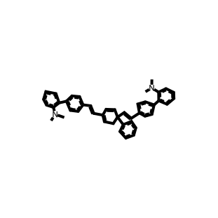 CN(C)c1ccccc1-c1ccc(C=CC2=CCC(C=Cc3ccc(-c4ccccc4N(C)C)cc3)(c3ccccc3)C=C2)cc1